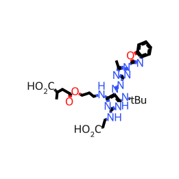 Cc1nc(N=Nc2c(NCCCOC(=O)CC(C)C(=O)O)nc(NCCC(=O)O)nc2NC(C)(C)C)nn1-c1nc2ccccc2o1